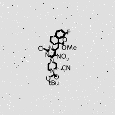 COC(=O)C1(Cc2nc(Cl)nc(N3CCN(C(=O)OC(C)(C)C)[C@@H](CC#N)C3)c2[N+](=O)[O-])CCCc2ccc(F)cc21